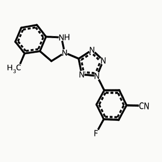 Cc1cccc2c1CN(c1nnn(-c3cc(F)cc(C#N)c3)n1)N2